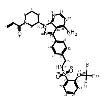 C=CC(=O)N1CCC[C@@H](n2nc(-c3ccc(CNS(=O)(=O)c4ccccc4OC(F)(F)F)cc3)c3c(N)ncnc32)C1